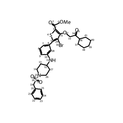 COC(=O)c1sc(-c2cccc(NC3CCN(S(=O)(=O)Cc4ccccc4)CC3)c2)c(Br)c1OCC(=O)C1CCCCC1